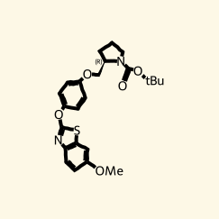 COc1ccc2nc(Oc3ccc(OC[C@H]4CCCN4C(=O)OC(C)(C)C)cc3)sc2c1